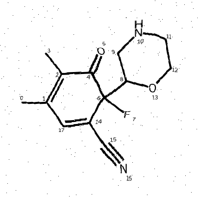 CC1=C(C)C(=O)C(F)(C2CNCCO2)C(C#N)=C1